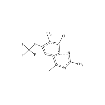 Cc1nc(I)c2cc(OC(F)(F)F)c(C)c(Cl)c2n1